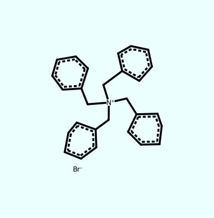 [Br-].c1ccc(C[N+](Cc2ccccc2)(Cc2ccccc2)Cc2ccccc2)cc1